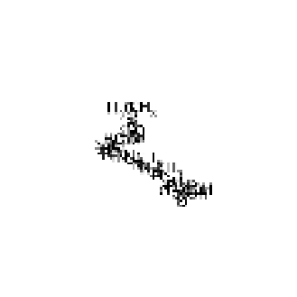 [2H]C([2H])([2H])Oc1ncc(-c2ccnc(N3CCn4c(cc5c4CC(C)(C)C5)C3=O)c2[C@H](C)O)cc1Nc1ccc(N2CCN(C3CCN(c4ccc5c(c4)C(=O)N(C4CCC(=O)N(COP(=O)(O)O)C4=O)C5=O)[C@H](C)C3)C[C@@H]2C)cn1